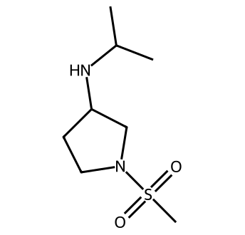 CC(C)NC1CCN(S(C)(=O)=O)C1